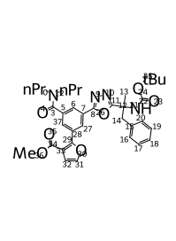 CCCN(CCC)C(=O)c1cc(-c2nnc(C(C)(Cc3ccccc3)NC(=O)OC(C)(C)C)o2)cc(-c2occc2C(=O)OC)c1